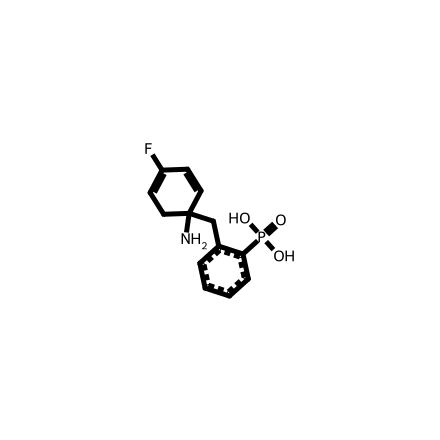 NC1(Cc2ccccc2P(=O)(O)O)C=CC(F)=CC1